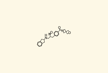 O=NC(CNC1Cc2ccccc2C1)Cc1ccc(C(=O)N2CC3(COC3)C2)cc1